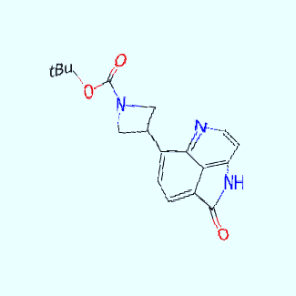 CC(C)(C)OC(=O)N1CC(c2ccc3c4c(ccnc24)NC3=O)C1